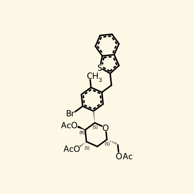 CC(=O)OC[C@@H]1C[C@H](OC(C)=O)[C@@H](OC(C)=O)[C@H](c2cc(Cc3cc4ccccc4s3)c(C)cc2Br)O1